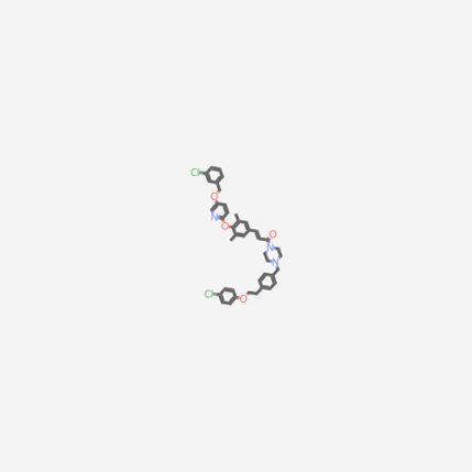 Cc1cc(C=CC(=O)N2CCN(Cc3ccc(CCOc4ccc(Cl)cc4)cc3)CC2)cc(C)c1Oc1ccc(OCc2cccc(Cl)c2)cn1